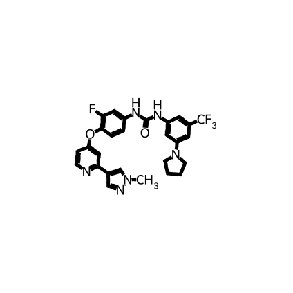 Cn1cc(-c2cc(Oc3ccc(NC(=O)Nc4cc(N5CCCC5)cc(C(F)(F)F)c4)cc3F)ccn2)cn1